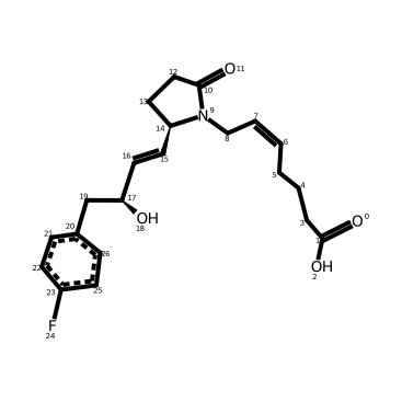 O=C(O)CCC/C=C\CN1C(=O)CC[C@@H]1/C=C/[C@@H](O)Cc1ccc(F)cc1